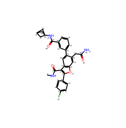 CNC(=O)c1c(-c2ccc(F)cc2)oc2cc(CC(N)=O)c(-c3cccc(C(=O)NC45CC(C4)C5)c3)cc12